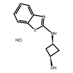 Cl.O[C@H]1C[C@@H](Nc2nc3ccccc3s2)C1